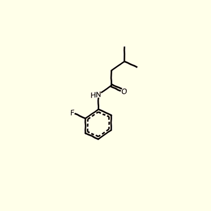 CC(C)CC(=O)Nc1ccccc1F